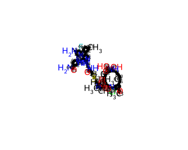 COc1cc2cc(c1Cl)N(C)C(=O)C[C@H](OC(=O)[C@@H](C)N(C)C(=O)CCSSCCC(=O)NCCNc1ncc(-c3cc(C)cc(F)c3)c(N3CCC(N)CC3)c1-c1nc3ccc(C(N)=O)cc3[nH]1)C1(C)OC1[C@@H](C)C1C[C@](CO)(C/C=C/C=C(\C)C2)NC(O)O1